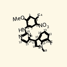 COc1cc(F)c([N+](=O)[O-])cc1Nc1nccc(-c2cn(C)c3c(F)cccc23)n1